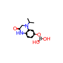 CC(C)N1CC(=O)Nc2ccc(OB(O)O)cc21